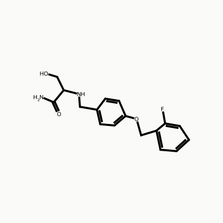 NC(=O)C(CO)NCc1ccc(OCc2ccccc2F)cc1